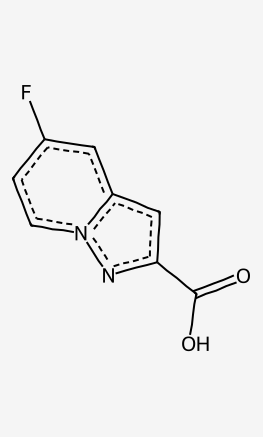 O=C(O)c1cc2cc(F)ccn2n1